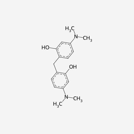 CN(C)c1ccc(Cc2ccc(N(C)C)cc2O)c(O)c1